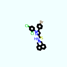 S=C(NN1Cc2cccc3cccc(c23)C1)C1=NN(c2ccc(Cl)cc2Cl)C(c2ccc(Br)cc2)C1